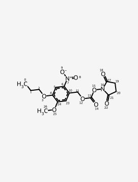 CCCOc1cc([N+](=O)[O-])c(COC(=O)ON2C(=O)CCC2=O)cc1OC